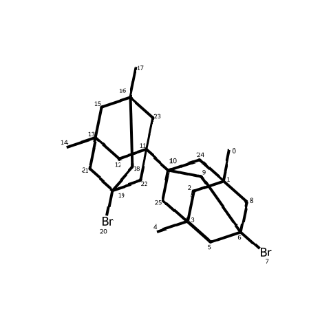 CC12CC3(C)CC(Br)(C1)CC(C14CC5(C)CC(C)(CC(Br)(C5)C1)C4)(C2)C3